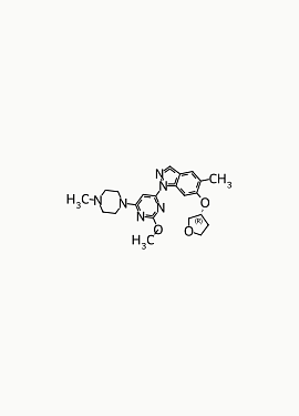 COc1nc(N2CCN(C)CC2)cc(-n2ncc3cc(C)c(O[C@@H]4CCOC4)cc32)n1